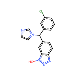 On1nnc2ccc(C(c3cccc(Cl)c3)n3ccnc3)cc21